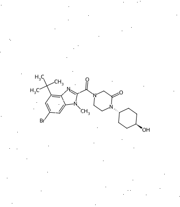 Cn1c(C(=O)N2CCN([C@H]3CC[C@H](O)CC3)C(=O)C2)nc2c(C(C)(C)C)cc(Br)cc21